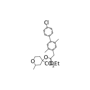 CCOC(=O)C1(OC(=O)Cc2cc(C)c(-c3ccc(Cl)cc3)cc2C)CCOC(C)C1